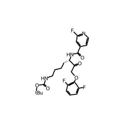 CC(C)(C)OC(=O)NCCCC[C@H](NC(=O)c1ccnc(F)c1)C(=O)COc1c(F)cccc1F